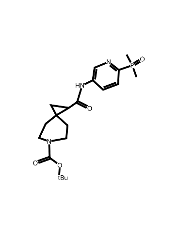 CC(C)(C)OC(=O)N1CCC2(CC1)CC2C(=O)Nc1ccc(P(C)(C)=O)nc1